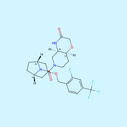 O=C1CO[C@H]2CCN(C(=O)N3[C@@H]4CC[C@H]3CC(OCc3ccc(C(F)(F)F)cc3F)C4)C[C@H]2N1